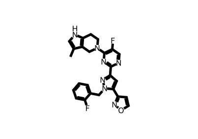 Cc1c[nH]c2c1CN(c1nc(-c3cc(-c4ccon4)n(Cc4ccccc4F)n3)ncc1F)CC2